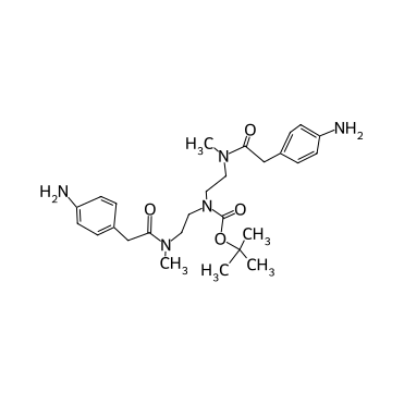 CN(CCN(CCN(C)C(=O)Cc1ccc(N)cc1)C(=O)OC(C)(C)C)C(=O)Cc1ccc(N)cc1